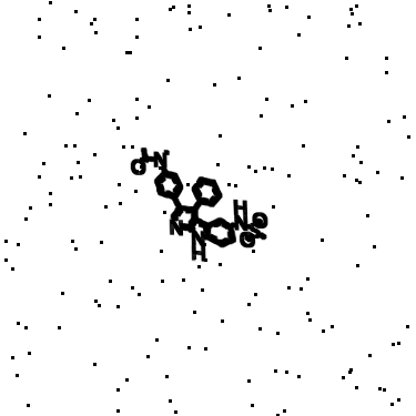 CC(=O)N(C)c1ccc(-c2cnc3[nH]c4ccc(NS(C)(=O)=O)cc4c3c2-c2ccccc2)cc1